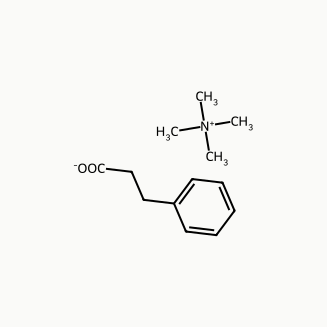 C[N+](C)(C)C.O=C([O-])CCc1ccccc1